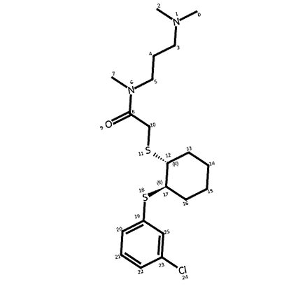 CN(C)CCCN(C)C(=O)CS[C@@H]1CCCC[C@H]1Sc1cccc(Cl)c1